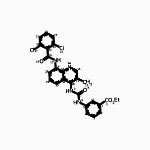 CCOC(=O)c1cccc(NC(=O)Nc2c(C)cnc3c(NC(=O)c4c(Cl)cccc4Cl)cccc23)c1